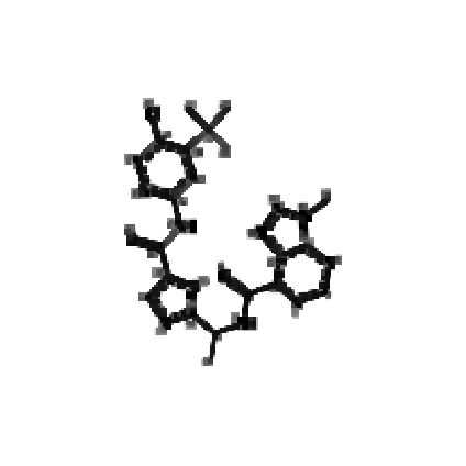 CC(NC(=O)c1ncnc2c1nnn2C)c1ncc(C(=O)Nc2cc(C(C)(C)C)c(Cl)nn2)s1